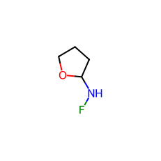 FNC1CCCO1